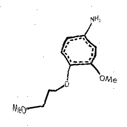 COCCOc1ccc(N)cc1OC